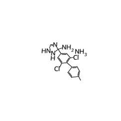 Cc1ccc(-c2c(Cl)cc(C3(N)N=CNN3)cc2Cl)cc1.N